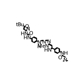 CNC(=C\C(=N)c1ccc(NC(=O)CN(C)C)cc1)/N=C\N=C\Nc1ccc(NC(=O)Nc2cc(C(C)(C)C)on2)cc1